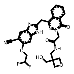 N#Cc1cc2nc(Cc3nn(CC(=O)NCC4(CO)COC4)c(=O)c4ccccc34)[nH]c2cc1OCC(F)F